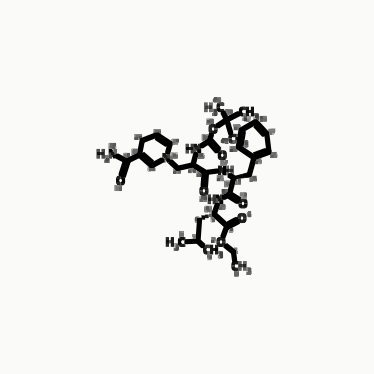 CCOC(=O)[C@H](CC(C)C)NC(=O)[C@H](Cc1ccccc1)NC(=O)C(CN1C=CCC(C(N)=O)=C1)NC(=O)OC(C)(C)C